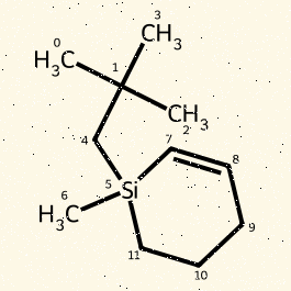 CC(C)(C)C[Si]1(C)C=CCCC1